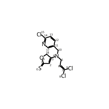 S=C1C=C(N(CC=C(Cl)Cl)Cc2ccc(Cl)nc2)CO1